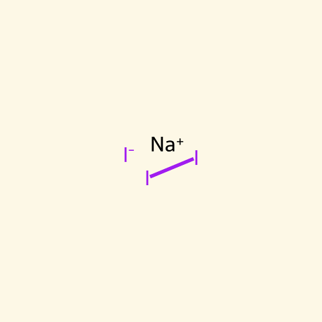 II.[I-].[Na+]